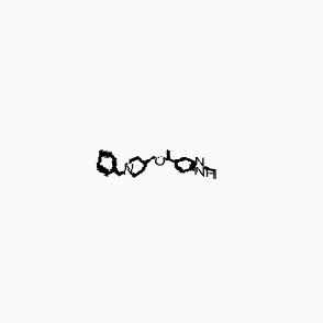 Cc1nc2cc(C(C)OCC3CCN(Cc4ccccc4)CC3)ccc2[nH]1